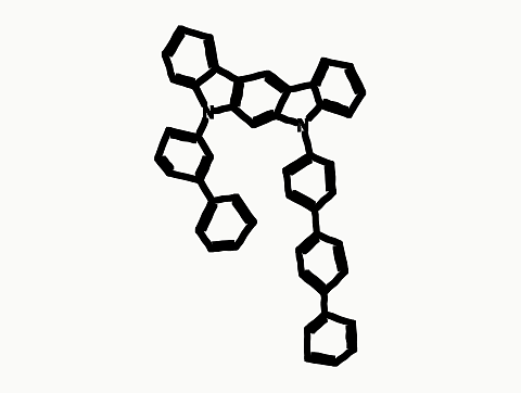 c1ccc(-c2ccc(-c3ccc(-n4c5ccccc5c5cc6c7ccccc7n(-c7cccc(-c8ccccc8)c7)c6cc54)cc3)cc2)cc1